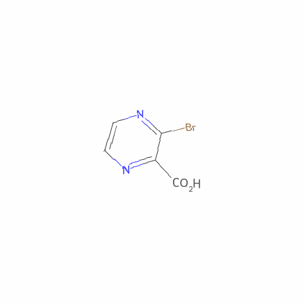 O=C(O)c1nccnc1Br